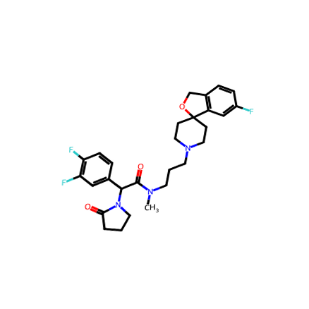 CN(CCCN1CCC2(CC1)OCc1ccc(F)cc12)C(=O)C(c1ccc(F)c(F)c1)N1CCCC1=O